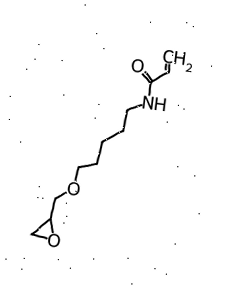 C=CC(=O)NCCCCCOCC1CO1